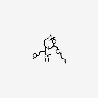 CCCCOCC1CN(C(CCOC)[SiH](C)C)CCC[Si](C)(C)O1